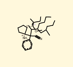 CCCCC(CC(C)CCC)C(C)C(C#N)(c1ccccc1)[C@@]1(N)CCC[C@@H]1/C(OC)=C(\C)CC